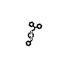 c1ccc(CN2CCCN(CCC(c3ccccc3)c3ccccc3)CC2)cc1